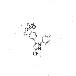 Cc1ccc(-n2nc(C(F)(F)F)cc2-c2ccc(S(N)(=O)=O)c(F)c2)cc1